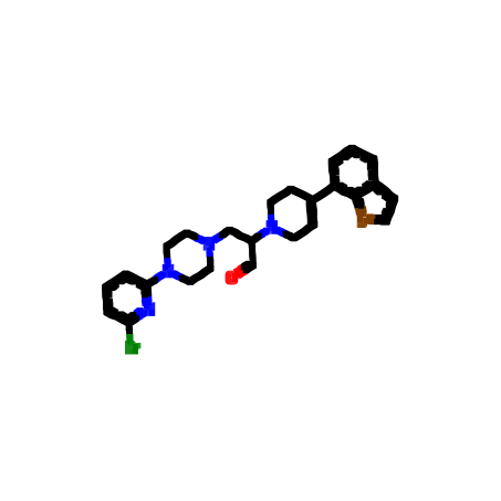 O=CC(CN1CCN(c2cccc(Br)n2)CC1)N1CC=C(c2cccc3ccsc23)CC1